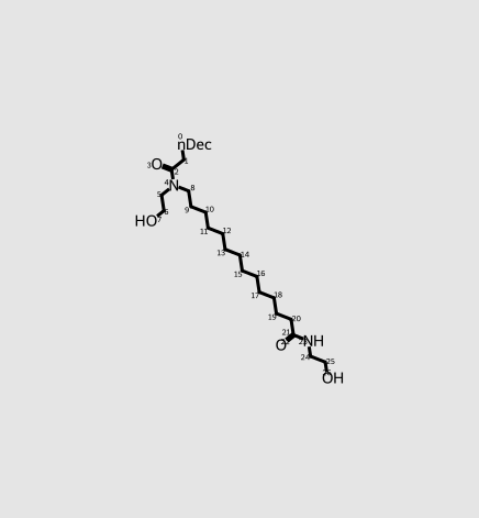 CCCCCCCCCCCC(=O)N(CCO)CCCCCCCCCCCCCC(=O)NCCO